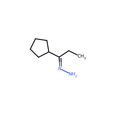 CC/C(=N\N)C1CCCC1